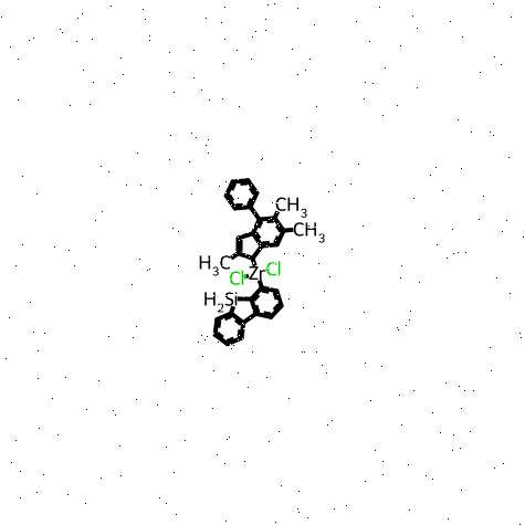 CC1=Cc2c(cc(C)c(C)c2-c2ccccc2)[CH]1[Zr]([Cl])([Cl])[c]1cccc2c1[SiH2]c1ccccc1-2